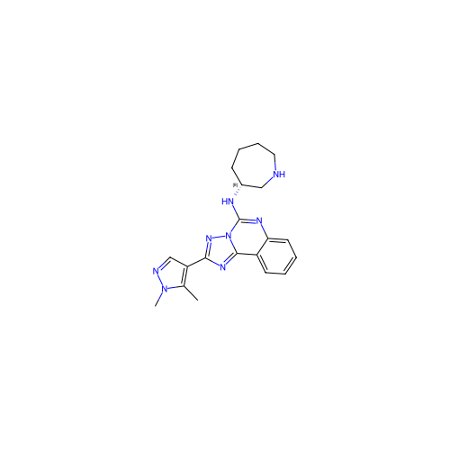 Cc1c(-c2nc3c4ccccc4nc(N[C@@H]4CCCCNC4)n3n2)cnn1C